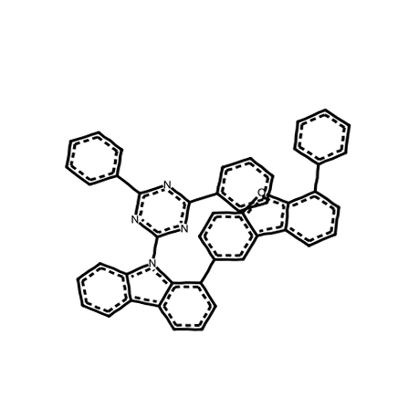 c1ccc(-c2nc(-c3ccccc3)nc(-n3c4ccccc4c4cccc(-c5ccc6oc7c(-c8ccccc8)cccc7c6c5)c43)n2)cc1